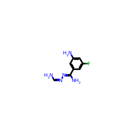 N/C=N\N=C(/N)c1cc(N)cc(F)c1